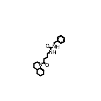 O=C(NCCCC(=O)N1CCCC2CCCC=C21)NCc1ccccc1